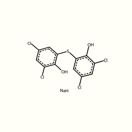 Oc1c(Cl)cc(Cl)cc1Sc1cc(Cl)cc(Cl)c1O.[NaH]